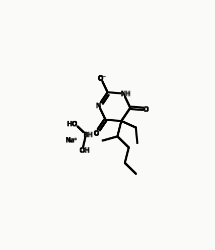 CCCC(C)C1(CC)C(=O)N=C([O-])NC1=O.OBO.[Na+]